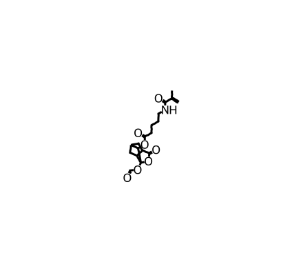 C=C(C)C(=O)NCCCCC(=O)OC1C2CC3C(=O)OC1(OC=O)C3C2